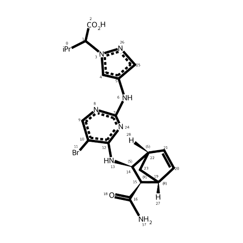 CC(C)C(C(=O)O)n1cc(Nc2ncc(Br)c(N[C@@H]3[C@H](C(N)=O)[C@H]4C=C[C@@H]3C4)n2)cn1